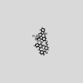 C[C@@H]1Cc2c([nH]c3ccccc23)[C@@H](c2c(F)cc(OCCN3CCN(C(=O)c4cc(Cc5n[nH]c(=O)c6ccccc56)ccc4F)CC3)cc2F)N1CC(C)(C)F